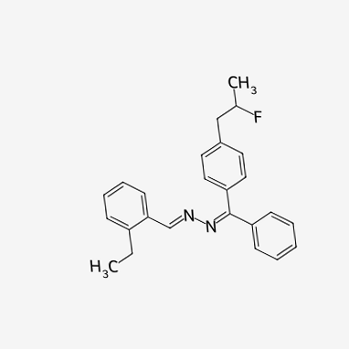 CCc1ccccc1C=NN=C(c1ccccc1)c1ccc(CC(C)F)cc1